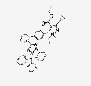 CCOC(=O)C1=C(c2ccc(-c3ccccc3-c3nnn(C(c4ccccc4)(c4ccccc4)c4ccccc4)n3)cc2)[N+](C)(CC)N=C1C1CC1